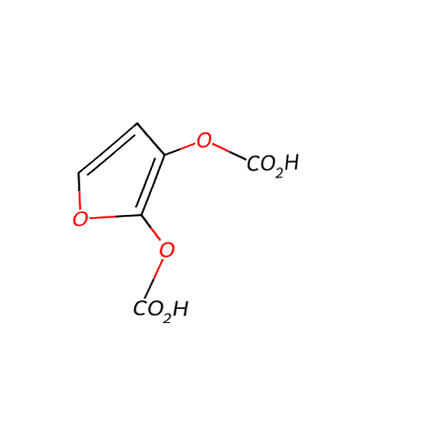 O=C(O)Oc1ccoc1OC(=O)O